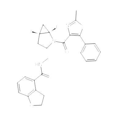 Cc1nc(C(=O)N2[C@H](CNC(=O)c3cccc4c3CCO4)C[C@@H]3C[C@@H]32)c(-c2ccccc2)s1